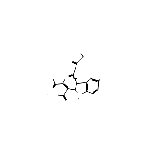 COC(=O)C1=C(C(=O)OC)C2N(C)c3ccc(C)cc3[C@@]23C[C@@H](C)N(C(=O)CC(C)C)C3=N1